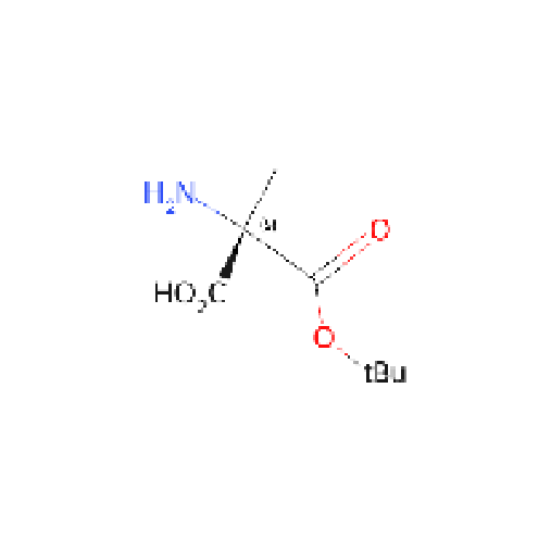 CC(C)(C)OC(=O)[C@@](C)(N)C(=O)O